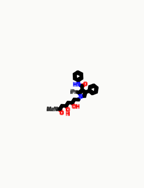 CNC(=O)CC(O)CC(O)CCn1cc(-c2ccccc2)c(C(=O)Nc2ccccc2)c1C(C)C